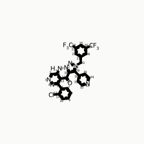 Nc1cnnc(-c2ccccc2Cl)c1C(=O)c1nnn(Cc2cc(C(F)(F)F)cc(C(F)(F)F)c2)c1-c1ccncc1